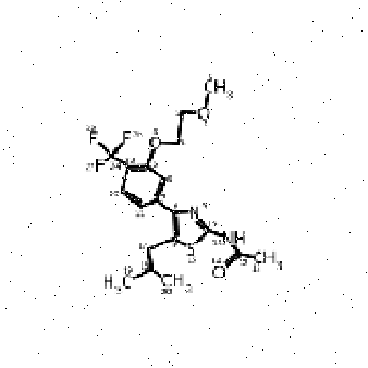 COCCOc1cc(-c2nc(NC(C)=O)sc2CC(C)C)ccc1C(F)(F)F